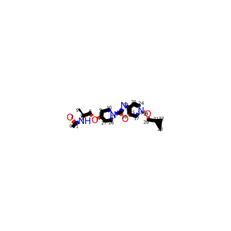 CC(=O)N[C@@H](C)COC1CCN(c2nc3c(o2)CN(OCC2CC2)C=C3)CC1